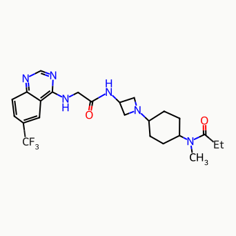 CCC(=O)N(C)C1CCC(N2CC(NC(=O)CNc3ncnc4ccc(C(F)(F)F)cc34)C2)CC1